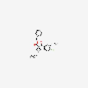 COc1cc(C(=O)C2(C(=O)OCc3ccccc3)CC(CSC)C2)ccc1F